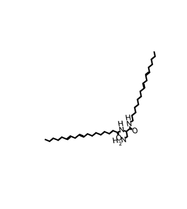 CCCCCC=CCC=CCCCCCCCCNC(=O)C(CN)NC(=O)CCCCCCCC=CCC=CCCCCC